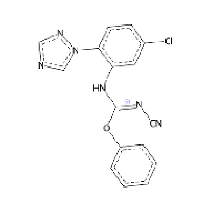 N#C/N=C(/Nc1cc(Cl)ccc1-n1cncn1)Oc1ccccc1